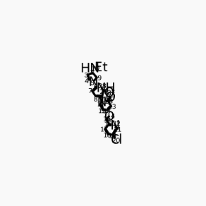 CCNC1CCN(c2ccc(-n3ccc(OCc4ccc(Cl)cn4)cc3=O)c(=O)[nH]2)C1